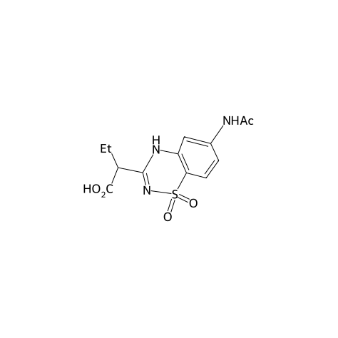 CCC(C(=O)O)C1=NS(=O)(=O)c2ccc(NC(C)=O)cc2N1